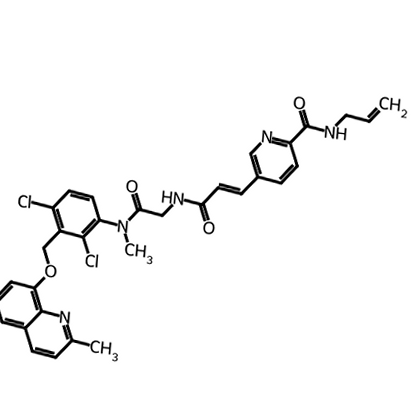 C=CCNC(=O)c1ccc(C=CC(=O)NCC(=O)N(C)c2ccc(Cl)c(COc3cccc4ccc(C)nc34)c2Cl)cn1